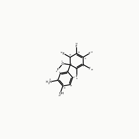 Nc1cc(C2(OF)C(F)=C(F)C(F)=C(F)C2F)ccc1O